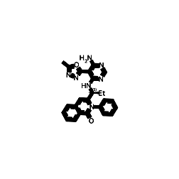 CC[C@H](Nc1ncnc(N)c1-c1nnc(C)o1)c1cc2ccccc2c(=O)n1-c1ccccc1